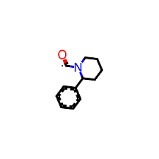 O=[C]N1CCCCC1c1ccccc1